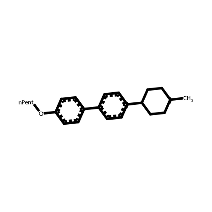 CCCCCOc1ccc(-c2ccc(C3CCC(C)CC3)cc2)cc1